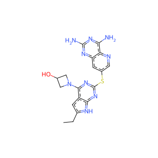 CCc1cc2c(N3CC(O)C3)nc(Sc3cnc4c(N)nc(N)nc4c3)nc2[nH]1